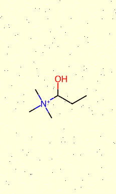 CCC(O)[N+](C)(C)C